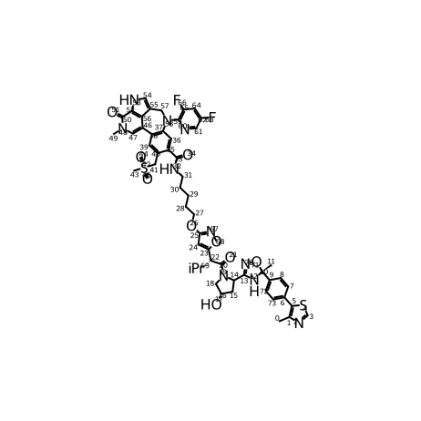 Cc1ncsc1-c1ccc([C@]2(C)NC(C3C[C@@H](O)CN3C(=O)[C@@H](c3cc(OCCCCCNC(=O)c4cc5c(cc4CS(C)(=O)=O)-c4cn(C)c(=O)c6[nH]cc(c46)CN5c4ncc(F)cc4F)no3)C(C)C)=NO2)cc1